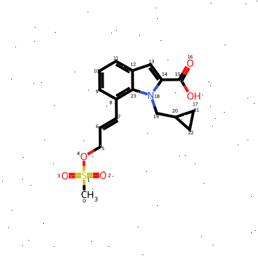 CS(=O)(=O)OCC=Cc1cccc2cc(C(=O)O)n(CC3CC3)c12